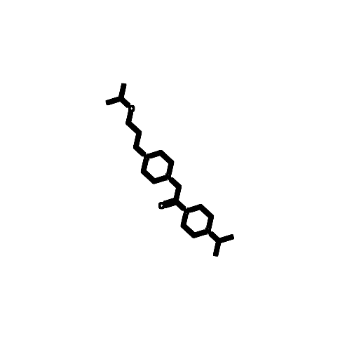 CC(C)OCCCN1CCN(CC(=O)N2CCN(C(C)C)CC2)CC1